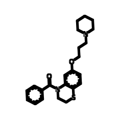 O=C(c1ccccc1)N1CCSc2ccc(OCCCN3CCCCC3)cc21